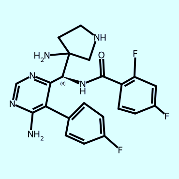 Nc1ncnc([C@H](NC(=O)c2ccc(F)cc2F)C2(N)CCNC2)c1-c1ccc(F)cc1